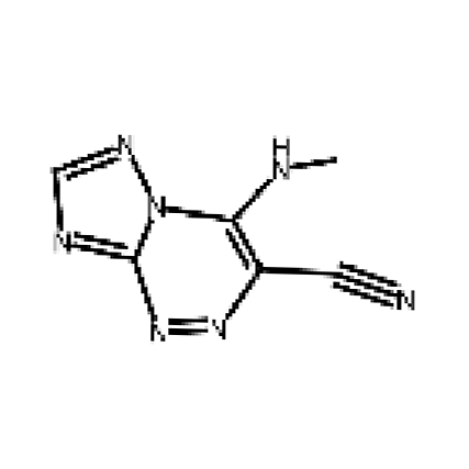 CNc1c(C#N)nnc2ncnn12